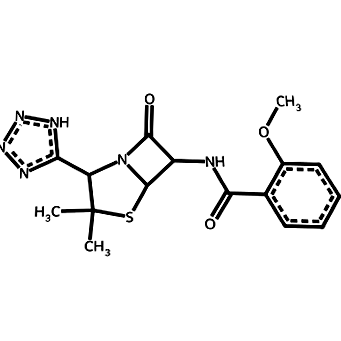 COc1ccccc1C(=O)NC1C(=O)N2C1SC(C)(C)C2c1nnn[nH]1